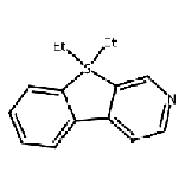 CCS1(CC)c2ccccc2-c2ccncc21